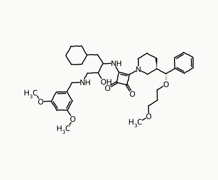 COCCCO[C@@H](c1ccccc1)[C@@H]1CCCN(c2c(NC(CC3CCCCC3)C(O)CNCc3cc(OC)cc(OC)c3)c(=O)c2=O)C1